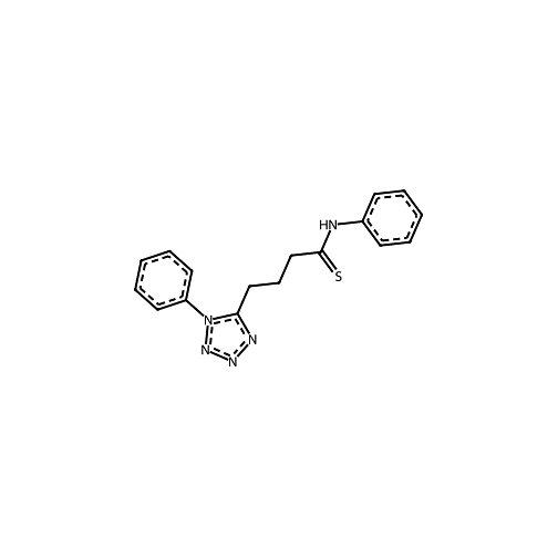 S=C(CCCc1nnnn1-c1ccccc1)Nc1ccccc1